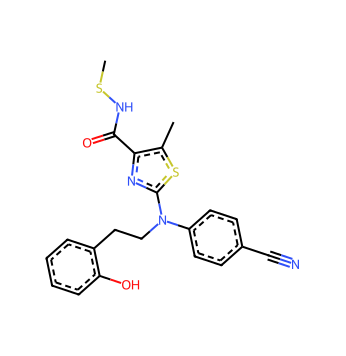 CSNC(=O)c1nc(N(CCc2ccccc2O)c2ccc(C#N)cc2)sc1C